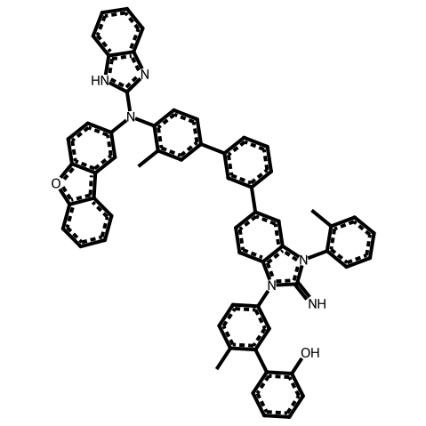 Cc1ccc(-n2c(=N)n(-c3ccccc3C)c3cc(-c4cccc(-c5ccc(N(c6ccc7oc8ccccc8c7c6)c6nc7ccccc7[nH]6)c(C)c5)c4)ccc32)cc1-c1ccccc1O